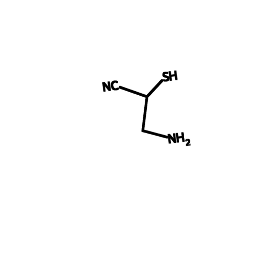 N#CC(S)CN